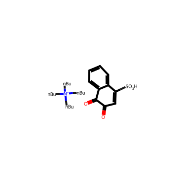 CCCC[N+](CCCC)(CCCC)CCCC.O=C1C=C(S(=O)(=O)O)c2ccccc2C1=O